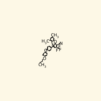 CCCCOc1ccc(Oc2ccc(-c3cc(C(F)(F)F)c(C#N)c(=O)n3Cc3ccc(C)cc3C)cc2)cc1